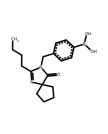 CCCCC1=NC2(CCCC2)C(=O)N1Cc1ccc(B(O)O)cc1